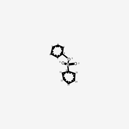 O=S(=O)(Oc1c[c]ccc1)c1ccccc1